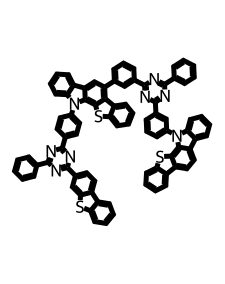 c1ccc(-c2nc(-c3cccc(-c4cc5c6ccccc6n(-c6ccc(-c7nc(-c8ccccc8)nc(-c8ccc9c(c8)sc8ccccc89)n7)cc6)c5c5sc6ccccc6c45)c3)nc(-c3cccc(-n4c5ccccc5c5ccc6c7ccccc7sc6c54)c3)n2)cc1